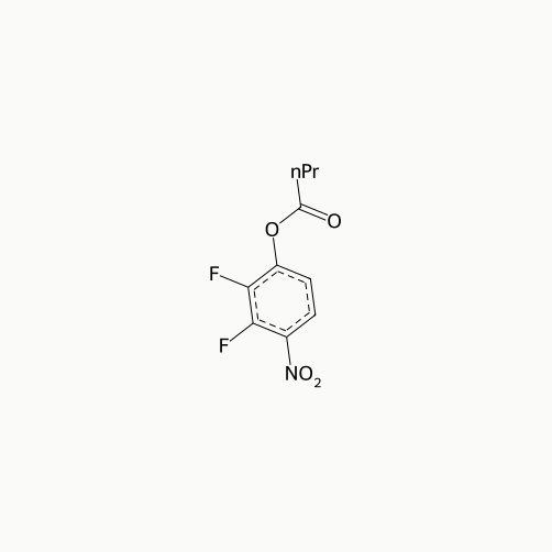 CCCC(=O)Oc1ccc([N+](=O)[O-])c(F)c1F